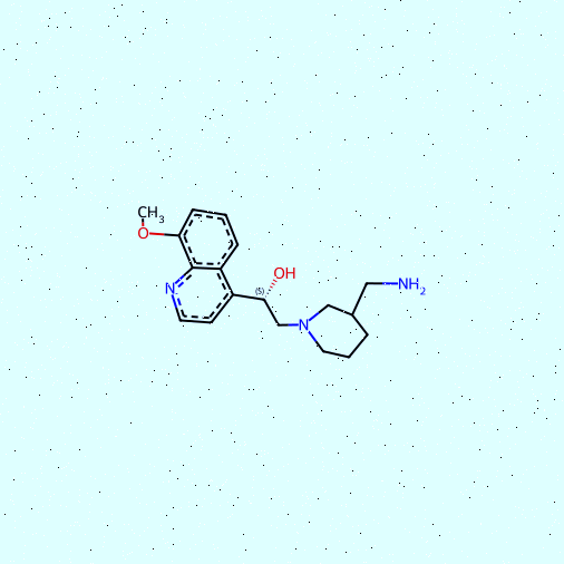 COc1cccc2c([C@H](O)CN3CCCC(CN)C3)ccnc12